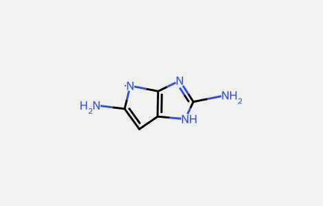 NC1=Cc2[nH]c(N)nc2[N]1